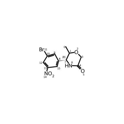 CC1OCC(=O)N[C@@H]1c1cc(Br)cc([N+](=O)[O-])c1